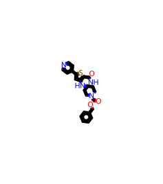 O=C1NC2(CCN(C(=O)OCc3ccccc3)CC2)Nc2cc(-c3ccncc3)sc21